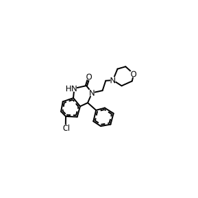 O=C1Nc2ccc(Cl)cc2C(c2ccccc2)N1CCN1CCOCC1